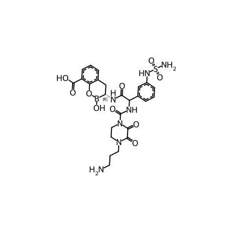 NCCCN1CCN(C(=O)NC(C(=O)N[C@H]2Cc3cccc(C(=O)O)c3OB2O)c2cccc(NS(N)(=O)=O)c2)C(=O)C1=O